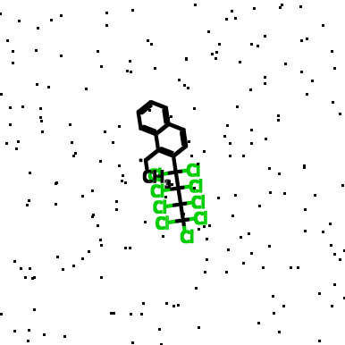 C[CH]c1c(C(Cl)(Cl)C(Cl)(Cl)C(Cl)(Cl)C(Cl)(Cl)Cl)ccc2ccccc12